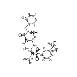 CNC(Cc1ccccc1C)C(=O)N1CCC(N(C2CC2)S(=O)(=O)c2cccc(C(F)(F)F)c2)CC1